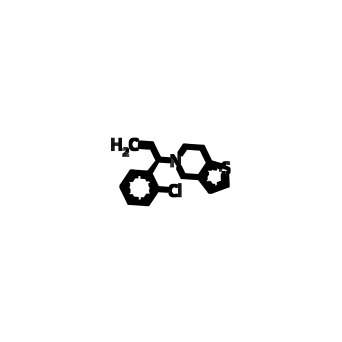 C=C[C@H](c1ccccc1Cl)N1CCc2sccc2C1